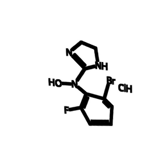 Cl.ON(C1=NCCN1)c1c(F)cccc1Br